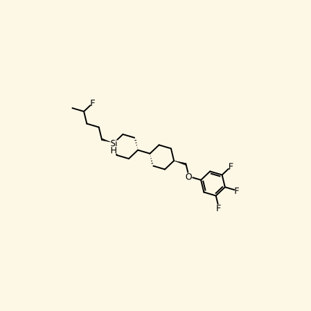 CC(F)CCC[Si@H]1CC[C@H]([C@H]2CC[C@H](COc3cc(F)c(F)c(F)c3)CC2)CC1